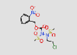 CS(=O)(=O)N(CCCl)N(C(=O)OCc1ccccc1[N+](=O)[O-])S(C)(=O)=O